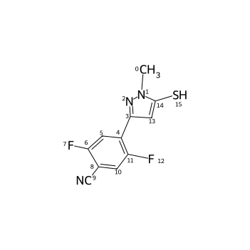 Cn1nc(-c2cc(F)c(C#N)cc2F)cc1S